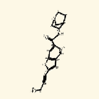 O=C(NC1CN2CCC1C2)c1cc2sc(C#CCO)cc2cn1